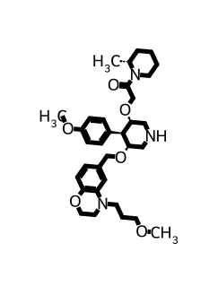 COCCCN1CCOc2ccc(CO[C@H]3CNC[C@@H](OCC(=O)N4CCCC[C@H]4C)[C@@H]3c3ccc(OC)cc3)cc21